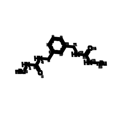 CCCCNC(=O)NCc1cccc(CNC(=O)NCCCC)c1